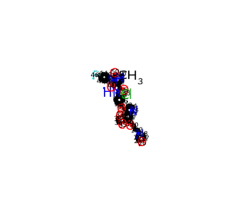 Cn1cc(C(=O)Nc2ccc(Oc3ccnc4cc(OCCCN5CCOCC5)c5c(c34)OCCO5)cc2Cl)c(=O)n(-c2ccc(F)cc2)c1=O